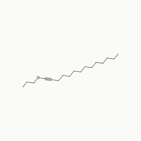 CC[CH]OC#CCCCCCCCCCCCC